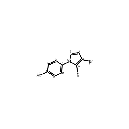 CC(=O)c1ccc(-n2ncc(Br)c2F)cc1